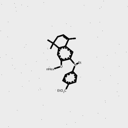 CCCCCCOc1cc2c(cc1N(CC)c1ccc(C(=O)OCC)cc1)C(C)=CCC2(C)C